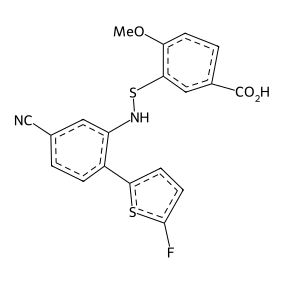 COc1ccc(C(=O)O)cc1SNc1cc(C#N)ccc1-c1ccc(F)s1